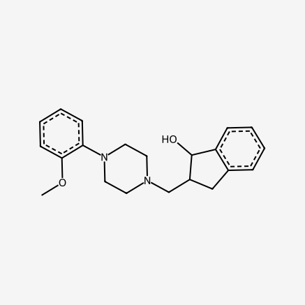 COc1ccccc1N1CCN(CC2Cc3ccccc3C2O)CC1